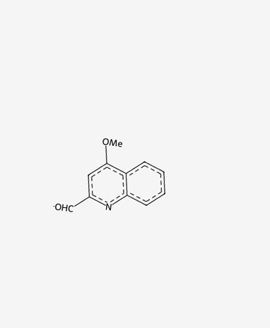 COc1cc([C]=O)nc2ccccc12